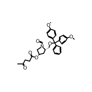 COc1ccc(C(OC[C@@H]2C[C@@H](OC(=O)CCC(C)=O)CN2C=O)(c2ccccc2)c2ccc(OC)cc2)cc1